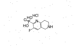 Cl.O=P(O)(O)c1nc2c(cc1F)CNCC2